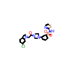 O=C(Cn1ccc2ccc(Cl)cc21)N1CCN(c2cccc(S(=O)(=O)Nc3nccs3)c2)CC1